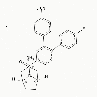 N#Cc1ccc(-c2cc(C(=O)N3[C@@H]4CC[C@H]3C[C@H](N)C4)ccc2-c2ccc(F)cc2)cc1